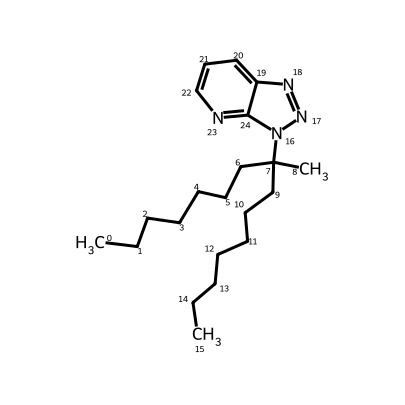 CCCCCCCC(C)(CCCCCCC)n1nnc2cccnc21